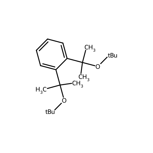 CC(C)(C)OC(C)(C)c1ccccc1C(C)(C)OC(C)(C)C